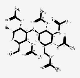 CC[C@H]1O[C@H](Br)[C@H](OC(C)=O)[C@@H](O[C@@H]2O[C@H](COC(C)=O)[C@@H](OC(C)=O)[C@H](OC(C)=O)[C@H]2OC(C)=O)[C@@H]1OC(C)=O